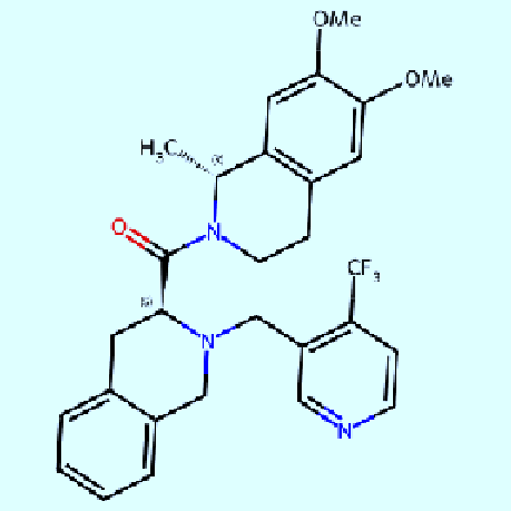 COc1cc2c(cc1OC)[C@@H](C)N(C(=O)[C@@H]1Cc3ccccc3CN1Cc1cnccc1C(F)(F)F)CC2